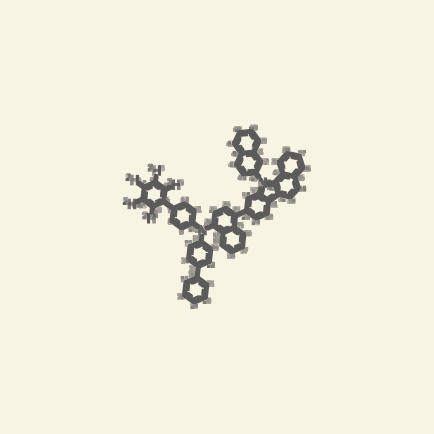 [2H]c1c([2H])c([2H])c(-c2ccc(N(c3ccc(-c4ccccc4)cc3)c3ccc(-c4ccc5c6ccc7ccccc7c6n(-c6ccc7ccccc7c6)c5c4)c4ccccc34)cc2)c([2H])c1[2H]